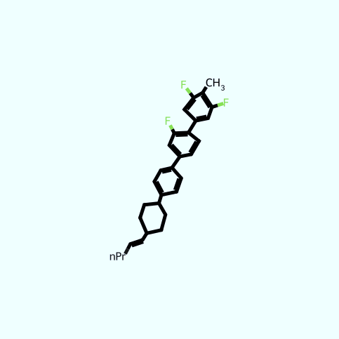 CCC/C=C/C1CCC(c2ccc(-c3ccc(-c4cc(F)c(C)c(F)c4)c(F)c3)cc2)CC1